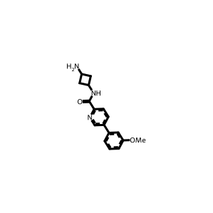 COc1cccc(-c2ccc(C(=O)NC3CC(N)C3)nc2)c1